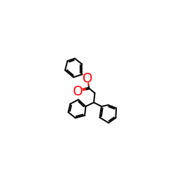 O=C(CC(c1ccccc1)c1ccccc1)Oc1ccccc1